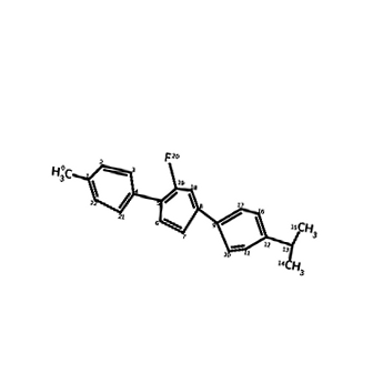 Cc1ccc(-c2ccc(-c3ccc(C(C)C)cc3)cc2F)cc1